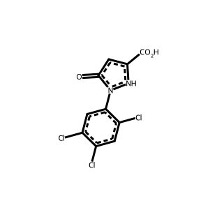 O=C(O)c1cc(=O)n(-c2cc(Cl)c(Cl)cc2Cl)[nH]1